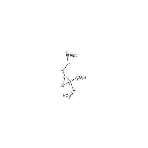 CCCCCCCCSC1SC1(CC(=O)O)C(=O)O